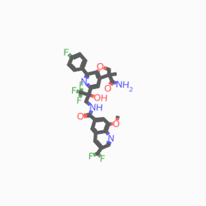 COc1cc(C(=O)NCC(O)(c2cc3c(c(-c4ccc(F)cc4)n2)OCC3(C)C(N)=O)C(F)(F)F)cc2cc(C(F)F)cnc12